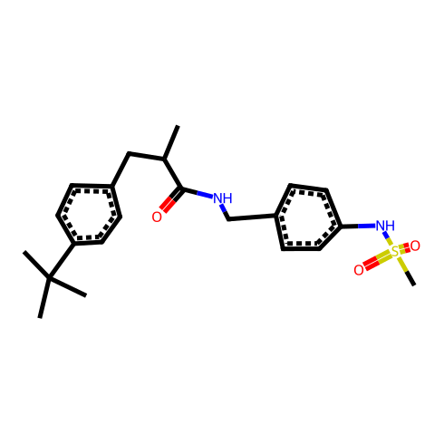 CC(Cc1ccc(C(C)(C)C)cc1)C(=O)NCc1ccc(NS(C)(=O)=O)cc1